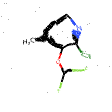 Cc1ccnc(Cl)c1OC(F)F